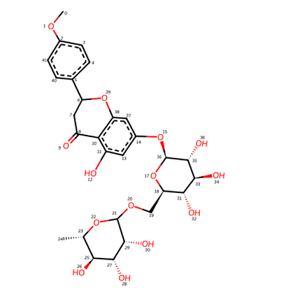 COc1ccc(C2CC(=O)c3c(O)cc(O[C@@H]4O[C@H](COC5O[C@@H](C)[C@H](O)[C@@H](O)[C@H]5O)[C@@H](O)[C@H](O)[C@H]4O)cc3O2)cc1